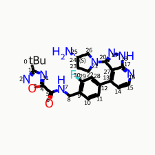 CC(C)(C)c1noc(C(=O)NCc2ccc(-c3ccnc4[nH]nc(N5CC[C@H](N)C5)c34)cc2F)n1